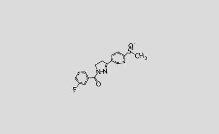 C[S+]([O-])c1ccc(C2=NN(C(=O)c3cccc(F)c3)CC2)cc1